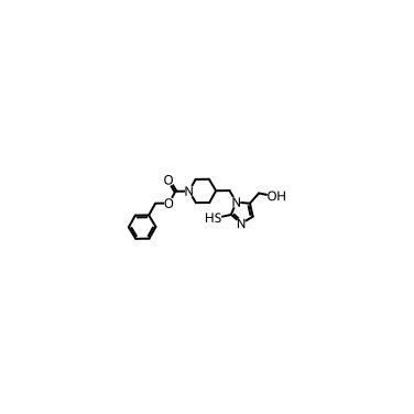 O=C(OCc1ccccc1)N1CCC(Cn2c(CO)cnc2S)CC1